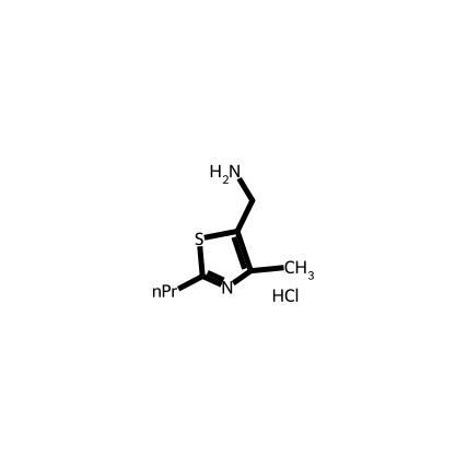 CCCc1nc(C)c(CN)s1.Cl